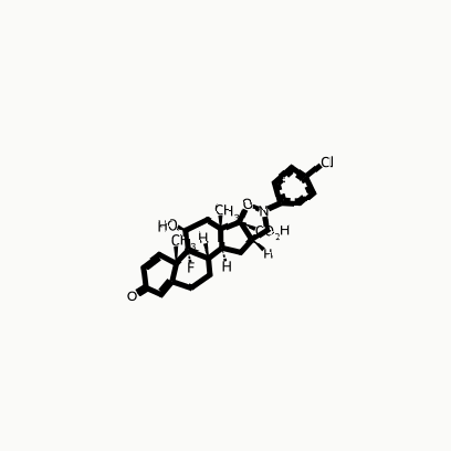 C[C@]12C=CC(=O)C=C1CC[C@H]1[C@@H]3C[C@H]4CN(c5ccc(Cl)cc5)O[C@@]4(C(=O)O)[C@@]3(C)C[C@H](O)[C@@]12F